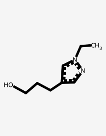 CCn1cc(CCCO)cn1